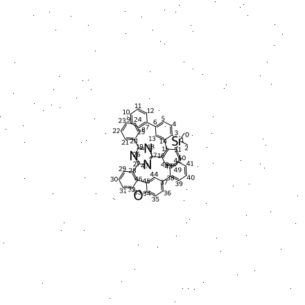 C[Si]1(C)c2ccc(-c3ccccc3)cc2-c2c(-c3nc(-c4ccccc4)nc(-c4cccc5oc6ccc(-c7ccccc7)cc6c45)n3)cccc21